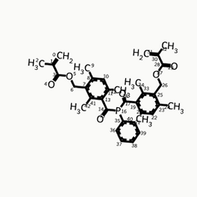 C=C(C)C(=O)OCc1c(C)cc(C)c(C(=O)P(C(=O)c2c(C)cc(C)c(COC(=O)C(=C)C)c2C)c2ccccc2)c1C